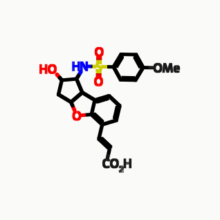 COc1ccc(S(=O)(=O)NC2C(O)CC3Oc4c(C=CC(=O)O)cccc4C32)cc1